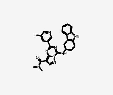 CN(C)C(=O)c1cnn2c(NC3CCc4[nH]c5ccccc5c4C3)nc(-c3cncc(F)c3)nc12